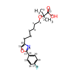 CC(C)(OCCCCCCc1coc(-c2ccc(F)cc2)n1)C(=O)O